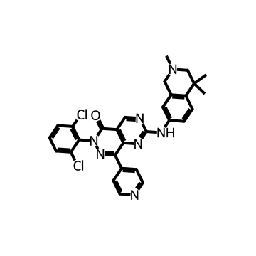 CN1Cc2cc(Nc3ncc4c(=O)n(-c5c(Cl)cccc5Cl)nc(-c5ccncc5)c4n3)ccc2C(C)(C)C1